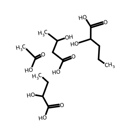 CC(=O)O.CC(O)CC(=O)O.CCC(O)C(=O)O.CCCC(O)C(=O)O